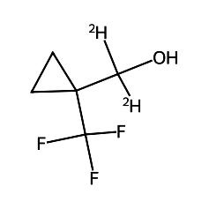 [2H]C([2H])(O)C1(C(F)(F)F)CC1